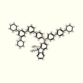 CCCC1(CCC)c2ccccc2-c2ccc(N(c3ccc(-c4ccc(C5CCCCC5)cc4)cc3)c3ccc(-c4cccc(-c5cc(C6CCCCC6)cc(C6CCCCC6)c5)c4)cc3)cc21